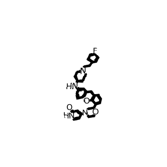 O=c1cc(N2CCOC(c3cccc4c3Oc3ccc(NC5CCN(CCc6ccc(F)cc6)CC5)cc3C4)C2)cc[nH]1